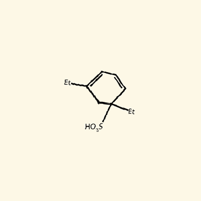 CCC1=CC=CC(CC)(S(=O)(=O)O)C1